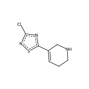 Clc1nsc(C2=CCCNC2)n1